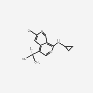 CC[C@](C)(O)c1cnc(NC2CC2)c2cnc(Cl)cc12